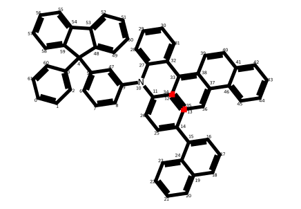 c1ccc(C2(c3cccc(N(c4ccc(-c5cccc6ccccc56)cc4)c4ccccc4-c4cccc5c4ccc4ccccc45)c3)c3ccccc3-c3ccccc32)cc1